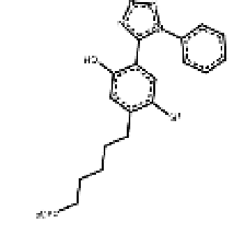 CCCCCCCCCCCCCCCc1cc(O)c(-c2nnnn2-c2ccccc2)cc1S